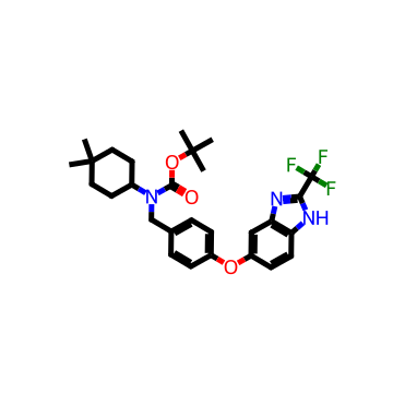 CC1(C)CCC(N(Cc2ccc(Oc3ccc4[nH]c(C(F)(F)F)nc4c3)cc2)C(=O)OC(C)(C)C)CC1